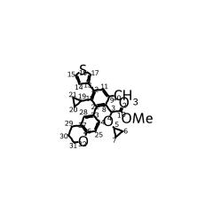 COC(=O)C(OC1CC1)c1c(C)cc(-c2ccsc2)c(C2CC2)c1-c1ccc2c(c1)CCCO2